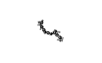 CCC1(C(=O)NC(C)C)CCN(c2ccc(-c3nc(-c4cnn(C5CCN(C(=O)CC6(O)CCN(c7ccc(N[C@@H]8CCC(=O)NC8=O)cc7F)CC6)CC5)c4)cn4ncc(C#N)c34)cn2)CC1